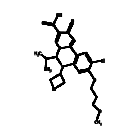 COCCCOc1cc2c(cc1Cl)-c1cc(=O)c(C(=O)O)cn1C(C(C)C)N2C1COC1